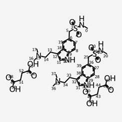 CNS(=O)(=O)Cc1ccc2[nH]cc(CCN(C)C)c2c1.CNS(=O)(=O)Cc1ccc2[nH]cc(CCN(C)C)c2c1.O=C(O)CCC(=O)O.O=C(O)CCC(=O)O